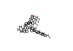 CCC(C(=O)O)c1cc(C(CC)C(=O)O)c(C)c(C(CC)C(=O)O)c1.Cc1ccccc1.Cc1ccccc1.Cc1ccccc1.Cc1ccccc1.Cc1ccccc1.Cc1ccccc1